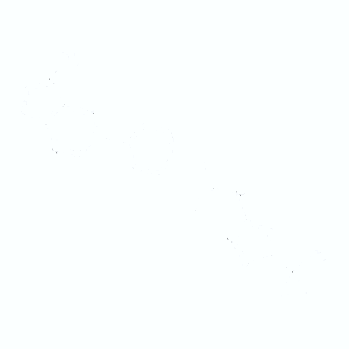 Cn1ccc2ncc(-c3ccc(CC(=O)Nc4cc(C5(C(F)(F)F)CC5)on4)cc3)nc21